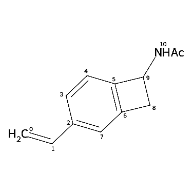 C=Cc1ccc2c(c1)CC2NC(C)=O